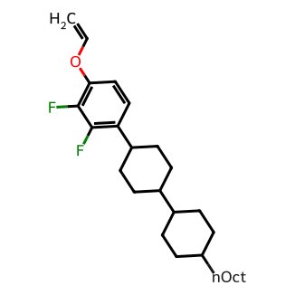 C=COc1ccc(C2CCC(C3CCC(CCCCCCCC)CC3)CC2)c(F)c1F